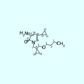 CCCCOCC1(Cn2cc(C3CC3)cc(N)c2=O)CC1